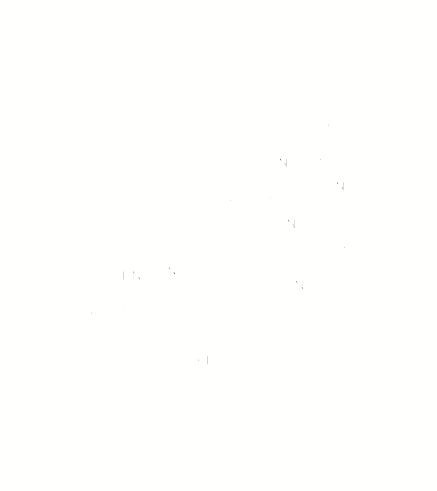 CC1CC(=O)NN=C1c1ccnc(-n2c(=O)[nH]c(=O)[nH]c2=O)c1